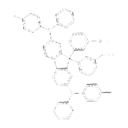 CCCCCCc1cccc(C2(c3cccc(CCCCCC)c3)c3cc(N(c4ccccc4)c4ccc(C)cc4)ccc3-c3ccc(N(c4ccccc4)c4ccc(C)cc4)cc32)c1